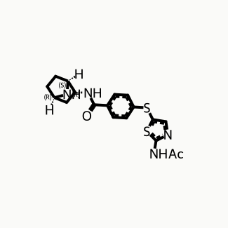 CC(=O)Nc1ncc(Sc2ccc(C(=O)N[C@@H]3C[C@H]4CC[C@@H]3N4)cc2)s1